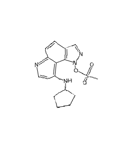 CS(=O)(=O)On1ncc2ccc3nccc(NC4CCCC4)c3c21